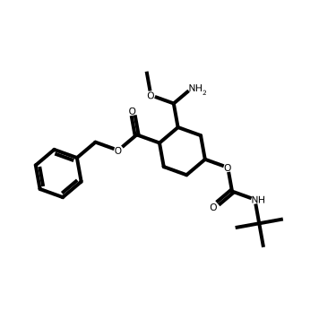 COC(N)C1CC(OC(=O)NC(C)(C)C)CCC1C(=O)OCc1ccccc1